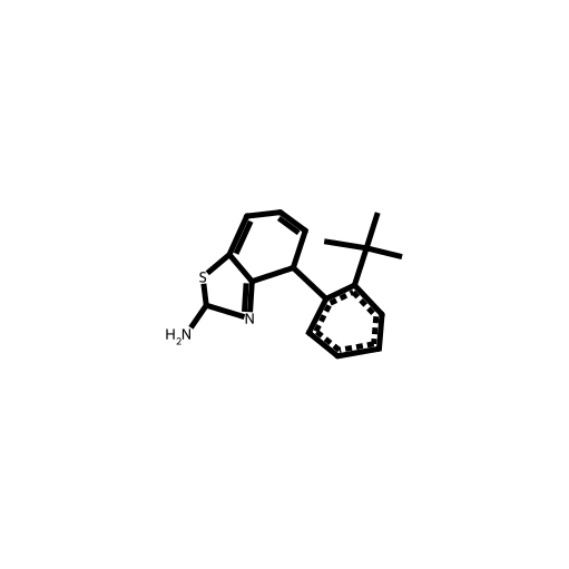 CC(C)(C)c1ccccc1[C]1C=CC=C2SC(N)N=C12